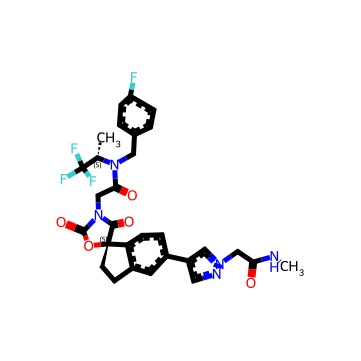 CNC(=O)Cn1cc(-c2ccc3c(c2)CC[C@]32OC(=O)N(CC(=O)N(Cc3ccc(F)cc3)[C@@H](C)C(F)(F)F)C2=O)cn1